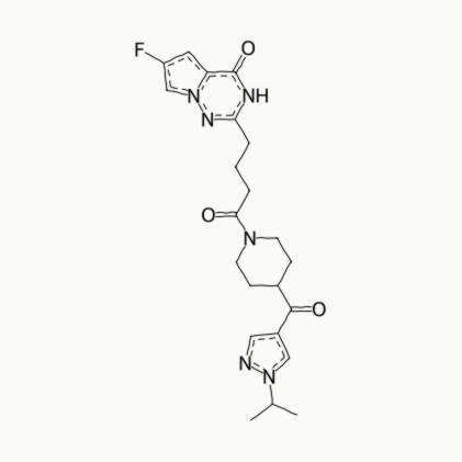 CC(C)n1cc(C(=O)C2CCN(C(=O)CCCc3nn4cc(F)cc4c(=O)[nH]3)CC2)cn1